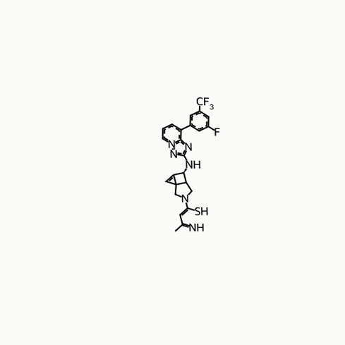 CC(=N)/C=C(\S)N1CC2[C@H](Nc3nc4c(-c5cc(F)cc(C(F)(F)F)c5)cccn4n3)C3=CC32C1